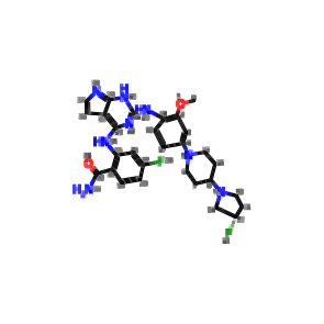 COc1cc(N2CCC(N3CC[C@H](F)C3)CC2)ccc1Nc1nc(Nc2cc(F)ccc2C(N)=O)c2ccnc-2[nH]1